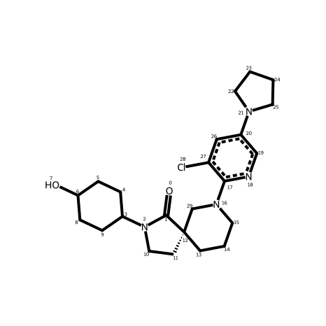 O=C1N(C2CCC(O)CC2)CC[C@]12CCCN(c1ncc(N3CCCC3)cc1Cl)C2